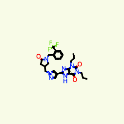 CCCn1c(=O)c2[nH]c(-c3cnn(CC4CC(=O)N(Cc5ccccc5C(F)(F)F)C4)c3)nc2n(CCC)c1=O